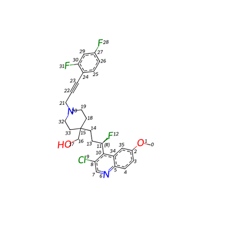 COc1ccc2ncc(Cl)c([C@H](F)CCC3(CO)CCN(CC#Cc4ccc(F)cc4F)CC3)c2c1